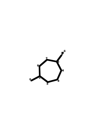 CC1CCC[C](F)CC1